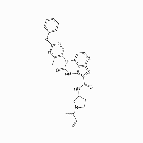 C=CC(=C)N1CC[C@@H](NC(=O)c2sc3nccc4c3c2NC(=O)N4c2cnc(Oc3ccccc3)nc2C)C1